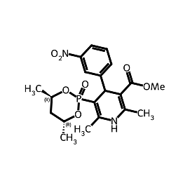 COC(=O)C1=C(C)NC(C)=C(P2(=O)O[C@H](C)C[C@@H](C)O2)C1c1cccc([N+](=O)[O-])c1